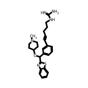 CN1CCC(OC(c2cccc(C#CCCCNC(=N)N)c2)c2nc3ccccc3s2)CC1